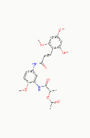 COc1cc(OC)c(C=CC(=O)Nc2ccc(OC)c(NC(=O)C(C)OC(C)=O)c2)c(OC)c1